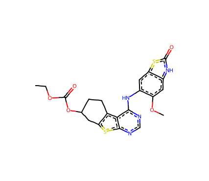 CCOC(=O)OC1CCc2c(sc3ncnc(Nc4cc5sc(=O)[nH]c5cc4OC)c23)C1